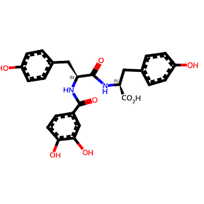 O=C(N[C@@H](Cc1ccc(O)cc1)C(=O)N[C@@H](Cc1ccc(O)cc1)C(=O)O)c1ccc(O)c(O)c1